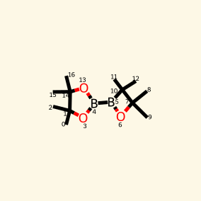 CC1(C)OB(B2OC(C)(C)C2(C)C)OC1(C)C